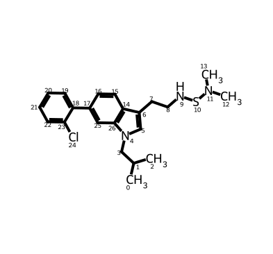 CC(C)Cn1cc(CCNSN(C)C)c2ccc(-c3ccccc3Cl)cc21